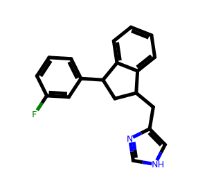 Fc1cccc(C2CC(Cc3c[nH]cn3)c3ccccc32)c1